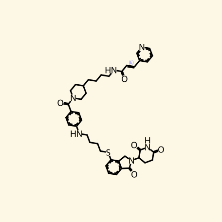 O=C(/C=C/c1cccnc1)NCCCCC1CCN(C(=O)c2ccc(NCCCCSc3cccc4c3CN(C3CCC(=O)NC3=O)C4=O)cc2)CC1